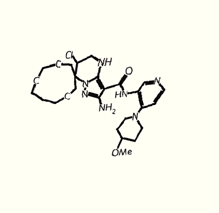 COC1CCN(c2ccncc2NC(=O)c2c(N)nn3c2NCC(Cl)C32CCCCCCCCC2)CC1